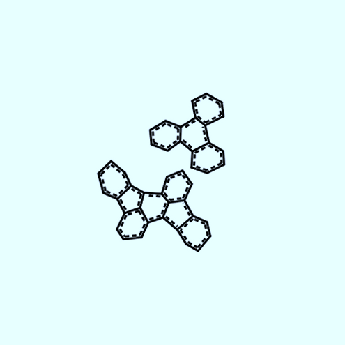 c1ccc2c(c1)c1cccc3c4c5ccccc5c5cccc(c2c13)c54.c1ccc2c(c1)c1ccccc1c1ccccc21